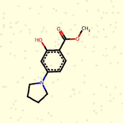 COC(=O)c1ccc(N2CCCC2)cc1O